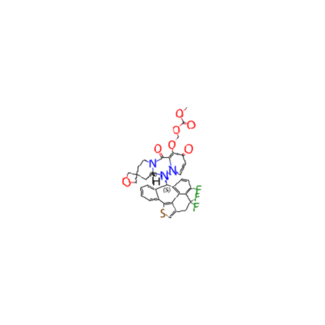 COC(=O)OCOc1c2n(ccc1=O)N([C@@H]1c3ccccc3-c3scc4c3-c3c1ccc(F)c3C(F)(F)C4)[C@@H]1CC3(CCN1C2=O)COC3